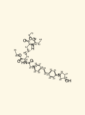 CCOC(=O)C(CSSCC(NC(=O)C[n+]1ccc(/C=C/c2ccc(N3CCC(O)C3)cc2)cc1)C(=O)OCC)NC(=O)CC